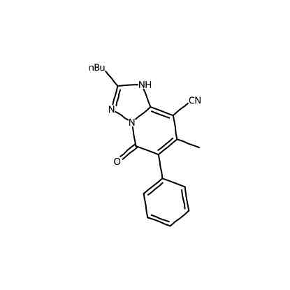 CCCCc1nn2c(=O)c(-c3ccccc3)c(C)c(C#N)c2[nH]1